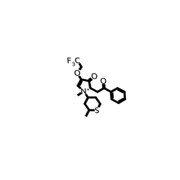 CC1CC([N+]2(C)C=C(OCC(F)(F)F)C(=O)C2CC(=O)c2ccccc2)CCS1